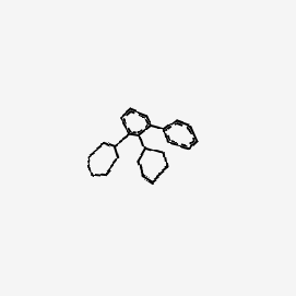 c1ccc(-c2cccc(C3CCCCC3)c2C2CCCCC2)cc1